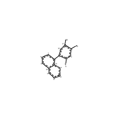 Cc1cc(F)c(-c2cccc3ccccc23)cc1C